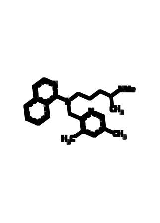 CNC(C)CCCN(Cc1ncc(C)cc1C)c1nccc2ccccc12